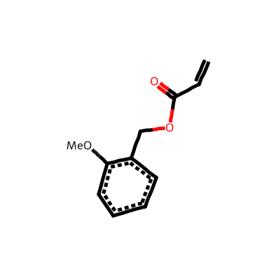 C=CC(=O)OCc1ccccc1OC